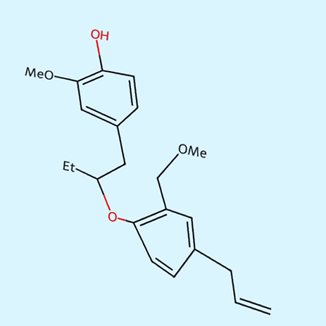 C=CCc1ccc(OC(CC)Cc2ccc(O)c(OC)c2)c(COC)c1